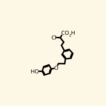 O=C(O)C(Cl)CCc1cccc(CCOc2ccc(O)cc2)c1